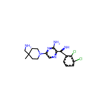 CC1(CN)CCN(c2cnc(C(=N)c3cccc(Cl)c3Cl)c(N)n2)CC1